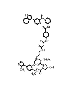 CC(=O)N[C@H](C(=O)N1C[C@H](O)C[C@H]1C(=O)N[C@@H](C)c1ccc(-c2scnc2C)cc1OCCCCCNC(=O)CC(=O)Nc1ccc(C(=O)Nc2cccc(Nc3cc(-c4c[nH]c5ccccc45)ncn3)c2)cc1)C(C)(C)C